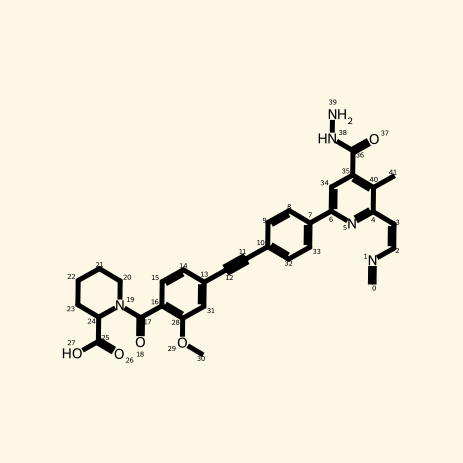 C=N/C=C\c1nc(-c2ccc(C#Cc3ccc(C(=O)N4CCCCC4C(=O)O)c(OC)c3)cc2)cc(C(=O)NN)c1C